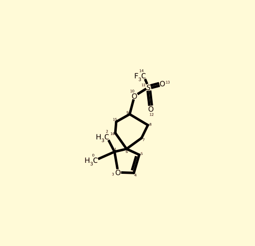 CC1(C)OC=CC12CCC(OS(=O)(=O)C(F)(F)F)CC2